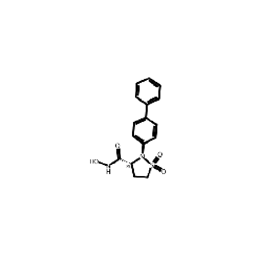 O=C(NO)[C@H]1CCS(=O)(=O)N1c1ccc(-c2ccccc2)cc1